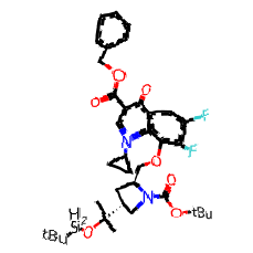 CC(C)(C)OC(=O)N1C[C@H](C(C)(C)O[SiH2]C(C)(C)C)C[C@H]1COc1c(F)c(F)cc2c(=O)c(C(=O)OCc3ccccc3)cn(C3CC3)c12